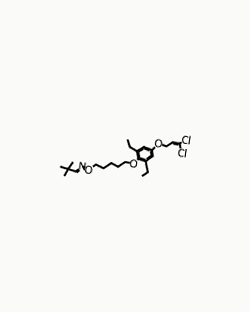 CCc1cc(OCC=C(Cl)Cl)cc(CC)c1OCCCCCON=CC(C)(C)C